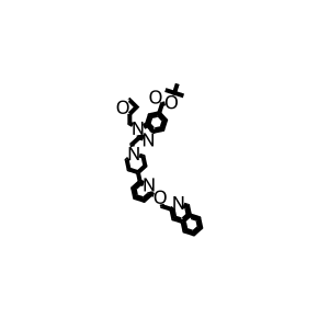 CC(C)(C)OC(=O)c1ccc2nc(CN3CCC(c4cccc(OCc5cc6ccccc6cn5)n4)CC3)n(CC3CCO3)c2c1